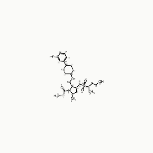 COC(=O)N1C(C)C[C@H](NS(=O)(=O)N(C)CCO)[C@@H]1COC1CCC(c2cccc(F)c2)CC1